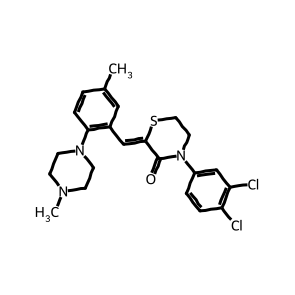 Cc1ccc(N2CCN(C)CC2)c(/C=C2\SCCN(c3ccc(Cl)c(Cl)c3)C2=O)c1